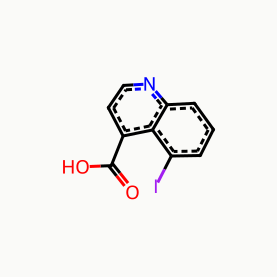 O=C(O)c1ccnc2cccc(I)c12